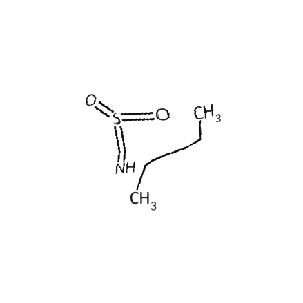 CCCC.N=S(=O)=O